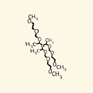 COCCOCOC(C)N(C(C)OCOCCOC)C(C)OCOCCOC